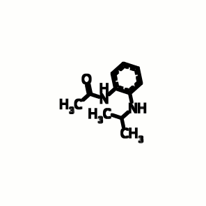 CC(=O)Nc1ccccc1NC(C)C